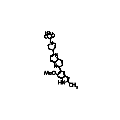 COc1cc2[nH]c(C)cc2cc1-c1ccc2nc(C3CCN(C(=O)OC(C)(C)C)CC3)ccc2n1